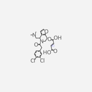 CN(C)CC1c2ccoc2CCN1C(=O)Cc1ccc(Cl)c(Cl)c1.O=C(O)/C=C/C(=O)O